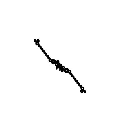 C=CC(=O)OCCCCCCCCCCCCCOc1ccc(C(=O)Oc2ccc(OC(=O)c3ccc(OCCCCCCCCCCCCCOC(=O)C=C)cc3)c(F)c2F)cc1